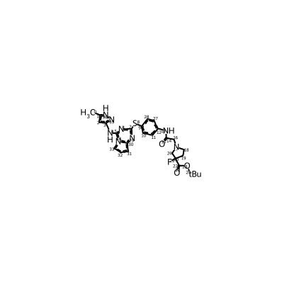 Cc1cc(Nc2nc(Sc3ccc(NC(=O)CN4CCC(F)(C(=O)OC(C)(C)C)C4)cc3)nc3cccn23)n[nH]1